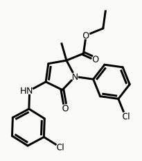 CCOC(=O)C1(C)C=C(Nc2cccc(Cl)c2)C(=O)N1c1cccc(Cl)c1